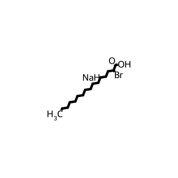 CCCCCCCCCCCCCCC(Br)C(=O)O.[NaH]